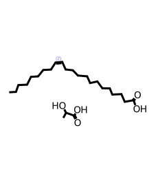 CC(O)C(=O)O.CCCCCCCC/C=C\CCCCCCCCCCCC(=O)O